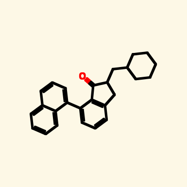 O=C1c2c(cccc2-c2cccc3ccccc23)CC1CC1CCCCC1